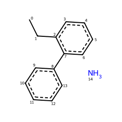 CCc1ccccc1-c1ccccc1.N